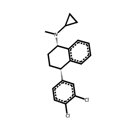 CN(C1CC1)[C@H]1CC[C@@H](c2ccc(Cl)c(Cl)c2)c2ccccc21